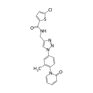 Cc1cc(-n2cc(CNC(=O)c3ccc(Cl)s3)nn2)ccc1-n1ccccc1=O